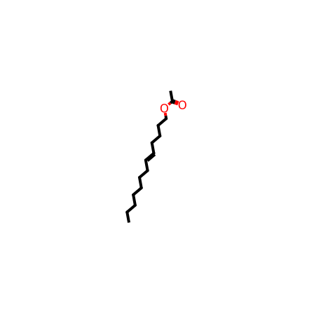 CCCCCCCC=CCCCCOC(C)=O